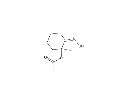 CC(=O)OC1(C)CCCCC1=NO